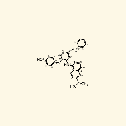 CC(C)c1ccc2c(Nc3cc(OCc4ccccc4)ccc3Sc3ccc(O)cc3)ncnc2n1